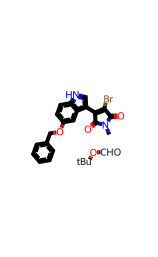 CC(C)(C)OC=O.CN1C(=O)C(Br)=C(c2c[nH]c3ccc(OCc4ccccc4)cc23)C1=O